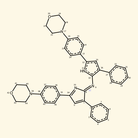 C1=C(c2ccccc2)/C(=N/c2[nH]c(-c3ccc(N4CCOCC4)cc3)cc2-c2ccccc2)N=C1c1ccc(N2CCOCC2)cc1